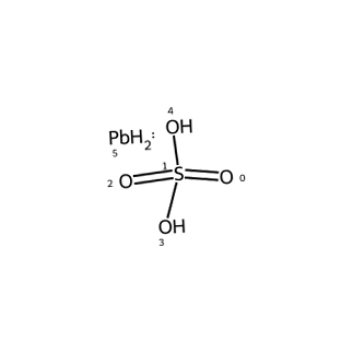 O=S(=O)(O)O.[PbH2]